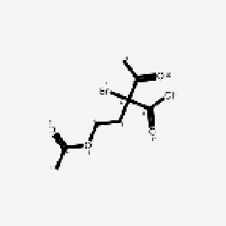 CC(=O)OCCC(Br)(C(C)=O)C(=O)O